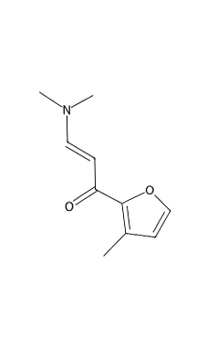 Cc1ccoc1C(=O)C=CN(C)C